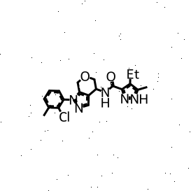 CCc1c(C(=O)NC2COCc3c2cnn3-c2cccc(C)c2Cl)n[nH]c1C